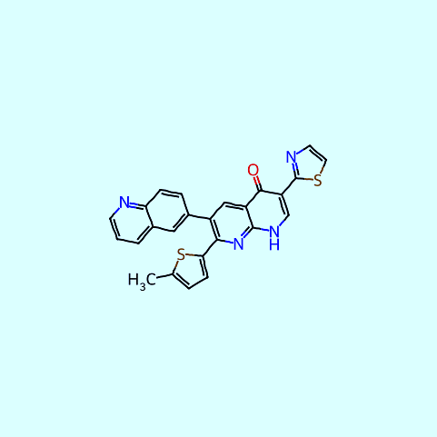 Cc1ccc(-c2nc3[nH]cc(-c4nccs4)c(=O)c3cc2-c2ccc3ncccc3c2)s1